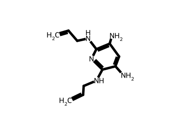 C=CCNc1nc(NCC=C)c(N)cc1N